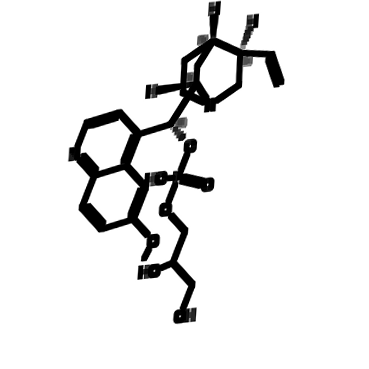 C=C[C@H]1CN2CC[C@H]1C[C@H]2[C@H](OP(=O)(O)OCC(O)CO)c1ccnc2ccc(OC)cc12